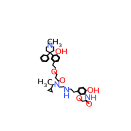 C[C@H](C1CC1)N(CCNCCc1ccc(O)c2c1OCC(=O)N2)C(=O)CCOCCc1ccc(O)c(C2(c3ccccc3)CCN(C)CC2)c1